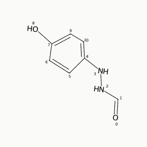 O=CNNc1ccc(O)cc1